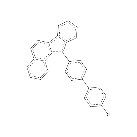 Clc1ccc(-c2ccc(-n3c4ccccc4c4ccc5ccccc5c43)cc2)cc1